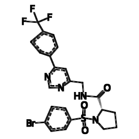 O=C(NCc1cc(-c2ccc(C(F)(F)F)cc2)ncn1)[C@@H]1CCCN1S(=O)(=O)c1ccc(Br)cc1